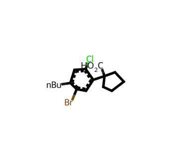 CCCCc1cc(Cl)c(C2(C(=O)O)CCCC2)cc1Br